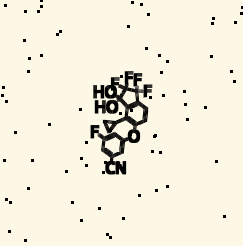 N#Cc1cc(F)cc(Oc2ccc3c(c2C2CC2)C(O)(O)C(F)(F)C3(F)F)c1